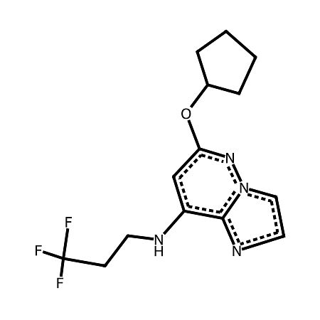 FC(F)(F)CCNc1cc(OC2CCCC2)nn2ccnc12